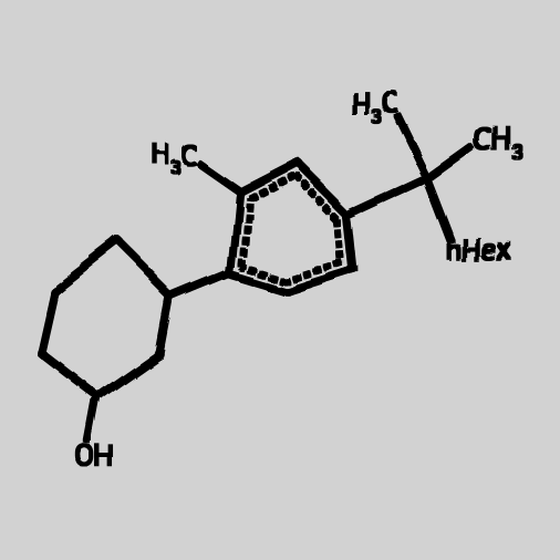 CCCCCCC(C)(C)c1ccc(C2CCCC(O)C2)c(C)c1